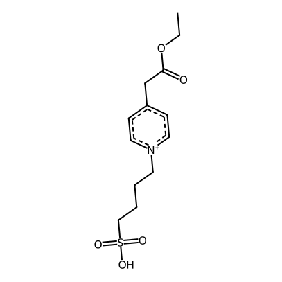 CCOC(=O)Cc1cc[n+](CCCCS(=O)(=O)O)cc1